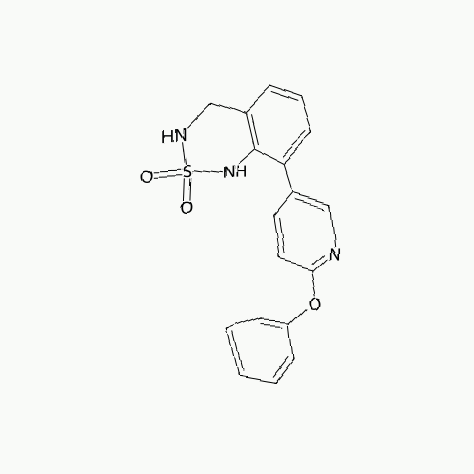 O=S1(=O)NCc2cccc(-c3ccc(Oc4ccccc4)nc3)c2N1